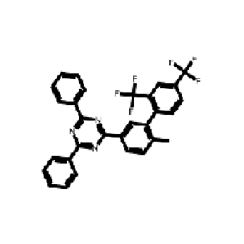 Cc1ccc(-c2nc(-c3ccccc3)nc(-c3ccccc3)n2)cc1-c1ccc(C(F)(F)F)cc1C(F)(F)F